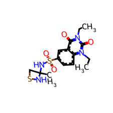 CCn1c(=O)c2cc(S(=O)(=O)NC3(C)CSN3)ccc2n(CC)c1=O